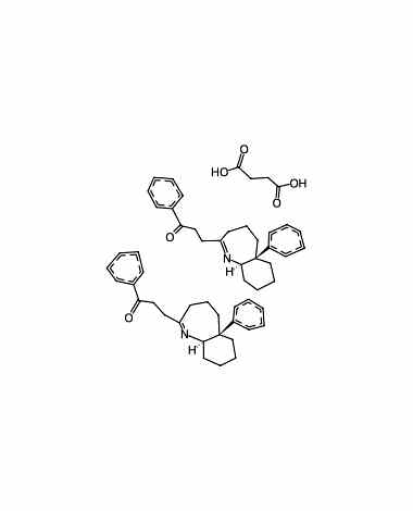 O=C(CCC1=N[C@@H]2CCCC[C@@]2(c2ccccc2)CCC1)c1ccccc1.O=C(CCC1=N[C@@H]2CCCC[C@@]2(c2ccccc2)CCC1)c1ccccc1.O=C(O)CCC(=O)O